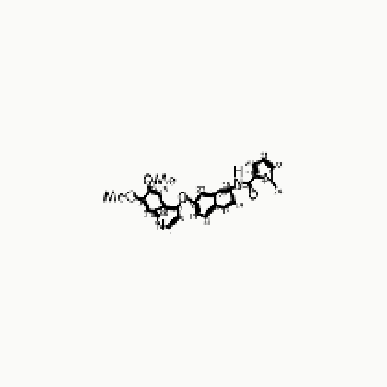 COc1cc2nccc(Oc3ccc4ccc(NC(=O)c5cccn5C)cc4c3)c2cc1OC